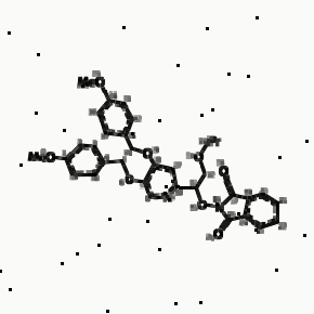 COc1ccc(COc2cnc(C(COC(C)C)ON3C(=O)c4ccccc4C3=O)cc2OCc2ccc(OC)cc2)cc1